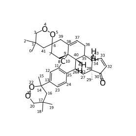 CC1(C)COOC2(CC[C@@]34Cc5cc(C6(C)CC(C)(C)COO6)ccc5[C@H]5C[C@]6(C)C(=O)C=C[C@H]6[C@H](CC=C3C2)[C@H]54)C1